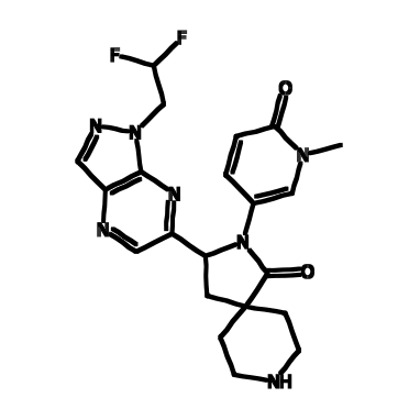 Cn1cc(N2C(=O)C3(CCNCC3)CC2c2cnc3cnn(CC(F)F)c3n2)ccc1=O